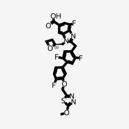 COc1nnc(COc2cc(-c3cc(F)c(Cc4nc5c(F)cc(C(=O)O)cc5n4C[C@@H]4CCO4)cc3F)ccc2F)s1